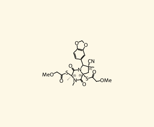 COCC(=O)S[C@@]1(C)C(=O)N2C(c3ccc4c(c3)OCO4)[C@@](C)(C#N)C[C@]2(SC(=O)COC)C(=O)N1C